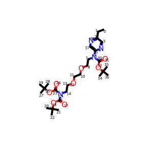 CCc1cnc(N(CCOCCOCCN(C(=O)OC(C)(C)C)C(=O)OC(C)(C)C)C(=O)OC(C)(C)C)cn1